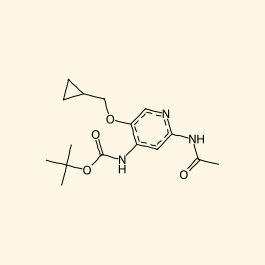 CC(=O)Nc1cc(NC(=O)OC(C)(C)C)c(OCC2CC2)cn1